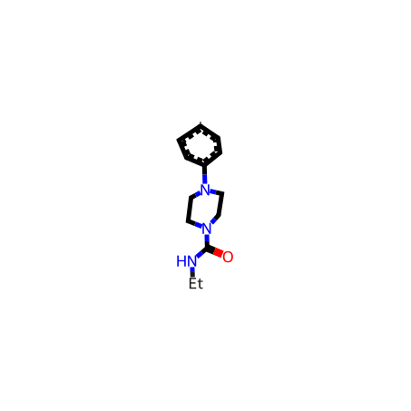 CCNC(=O)N1CCN(c2cc[c]cc2)CC1